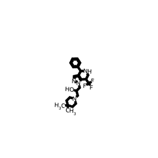 CC1(C)CCN(CC(O)Cn2ncc3c2C(C(F)(F)F)CNC3c2ccccc2)CC1